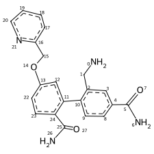 NCc1cc(C(N)=O)ccc1-c1cc(OCc2ccccn2)ccc1C(N)=O